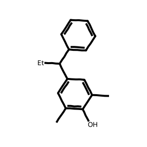 CCC(c1ccccc1)c1cc(C)c(O)c(C)c1